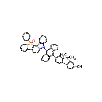 CC1(C)c2cc(C#N)ccc2-c2ccc(-c3c4ccccc4c(-n4c5ccccc5c5c6c(ccc54)-c4ccccc4P6(=O)c4ccccc4)c4ccccc34)cc21